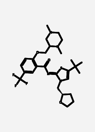 CN1CCN(C)C(COc2ccc(C(F)(F)F)cc2C(=O)N=c2sc(C(C)(C)C)cn2C[C@@H]2CCCO2)C1